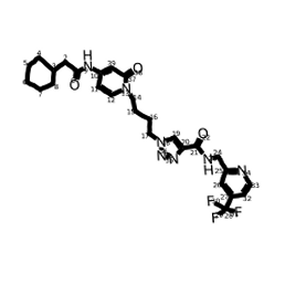 O=C(CC1CCCCC1)Nc1ccn(CCCCn2cc(C(=O)NCc3cc(C(F)(F)F)ccn3)nn2)c(=O)c1